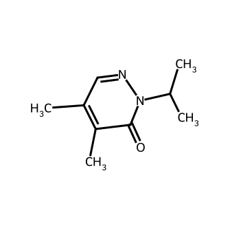 Cc1cnn(C(C)C)c(=O)c1C